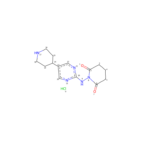 Cl.O=C1CCCC(=O)N1Nc1ncc(C2CCNCC2)cn1